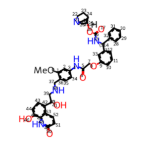 COc1cc(NC(=O)COc2cccc([C@@H](NC(=O)O[C@H]3CN4CCC3CC4)c3ccccc3)c2)ccc1CNC[C@H](O)c1ccc(O)c2[nH]c(=O)ccc12